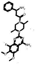 COc1cc2c(N)nc(N3CC(C)N(C(=O)CC(N)c4ccccc4)CC3C)nc2c(F)c1OC